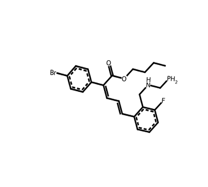 CCCCOC(=O)C(=CC=Cc1cccc(F)c1CNCP)c1ccc(Br)cc1